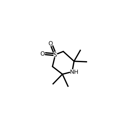 CC1(C)CS(=O)(=O)CC(C)(C)N1